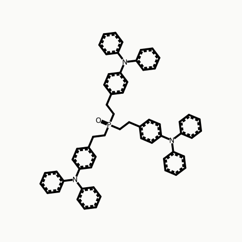 O=P(CCc1ccc(N(c2ccccc2)c2ccccc2)cc1)(CCc1ccc(N(c2ccccc2)c2ccccc2)cc1)CCc1ccc(N(c2ccccc2)c2ccccc2)cc1